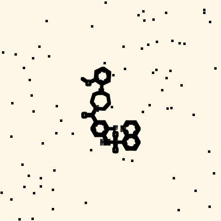 COc1ccccc1N1CCCN(C(=O)c2ccc(NS(=O)(=O)c3cccc4cccnc34)c(F)c2)CC1